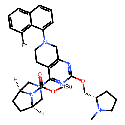 CCc1cccc2cccc(N3CCc4c(nc(OC[C@@H]5CCCN5C)nc4N4C[C@H]5CC[C@@H](C4)N5C(=O)OC(C)(C)C)C3)c12